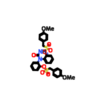 COc1ccc(CS(=O)(=O)Oc2ccccc2N(C(N)=O)c2ccccc2OS(=O)(=O)Cc2ccc(OC)cc2)cc1